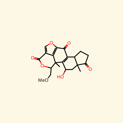 COCC1OC(=O)c2coc3c2C1(C)C1=C(C3=O)C2CCC(=O)C2(C)CC1O